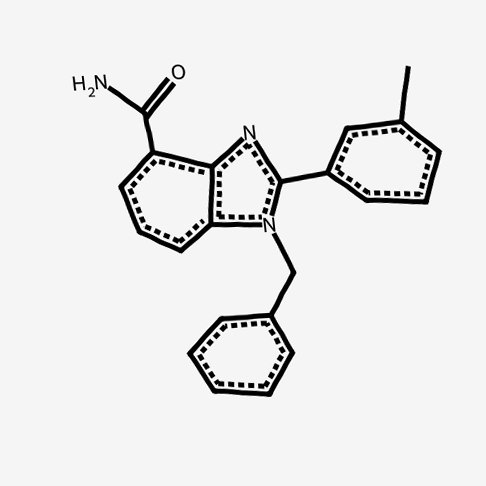 Cc1cccc(-c2nc3c(C(N)=O)cccc3n2Cc2ccccc2)c1